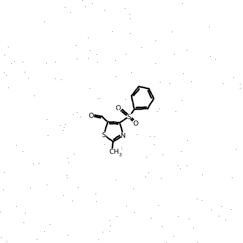 Cc1nc(S(=O)(=O)c2ccccc2)c(C=O)s1